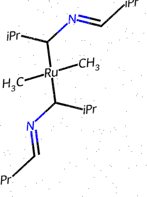 CC(C)C=N[CH](C(C)C)[Ru]([CH3])([CH3])[CH](N=CC(C)C)C(C)C